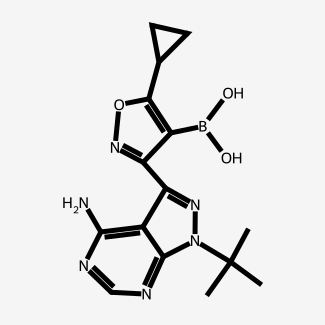 CC(C)(C)n1nc(-c2noc(C3CC3)c2B(O)O)c2c(N)ncnc21